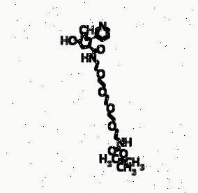 CN1C(O)C[C@H](C(=O)NCCOCCOCCOCCOCCNC(=O)OC(C)(C)C)[C@H]1c1cccnc1